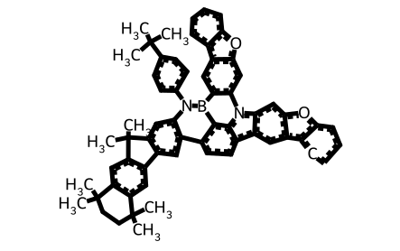 CC(C)(C)c1ccc(N2B3c4cc5c(cc4-n4c6cc7oc8ccccc8c7cc6c6ccc(c3c64)-c3cc4c(cc32)C(C)(C)c2cc3c(cc2-4)C(C)(C)CCC3(C)C)oc2ccccc25)cc1